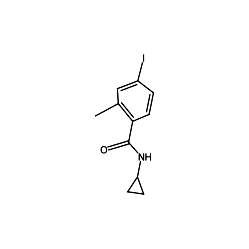 Cc1cc(I)ccc1C(=O)NC1CC1